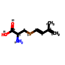 C=C(C)C=CSCC(N)C(=O)O